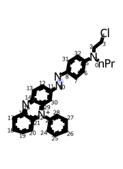 CCCN(CCCl)c1ccc(/N=N/c2ccc3nc4ccccc4[n+](-c4ccccc4)c3c2)cc1